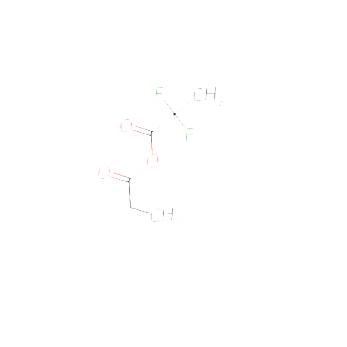 CCC(=O)OC(=O)C(C)(F)F